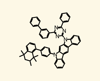 CC1CC(C)(C)c2cccc(-c3ccc(-n4c5ccccc5c5cc6c7ccccc7n(-c7nc(-c8ccccc8)nc(-c8cccc(-c9ccccc9)c8)n7)c6cc54)cc3)c2C1(C)C